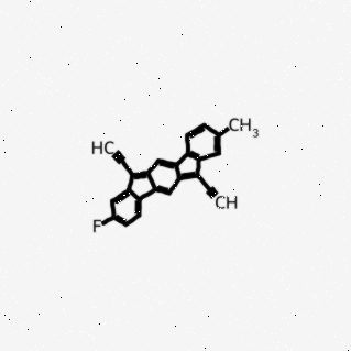 C#CC1=c2cc3c(cc2-c2ccc(C)cc21)=C(C#C)c1cc(F)ccc1-3